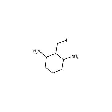 NC1CCCC(N)C1CI